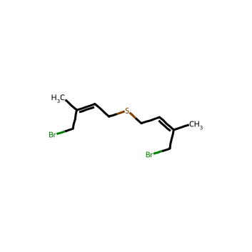 CC(=CCSCC=C(C)CBr)CBr